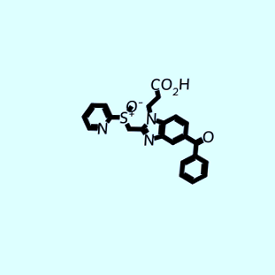 O=C(O)CCn1c(C[S+]([O-])c2ccccn2)nc2cc(C(=O)c3ccccc3)ccc21